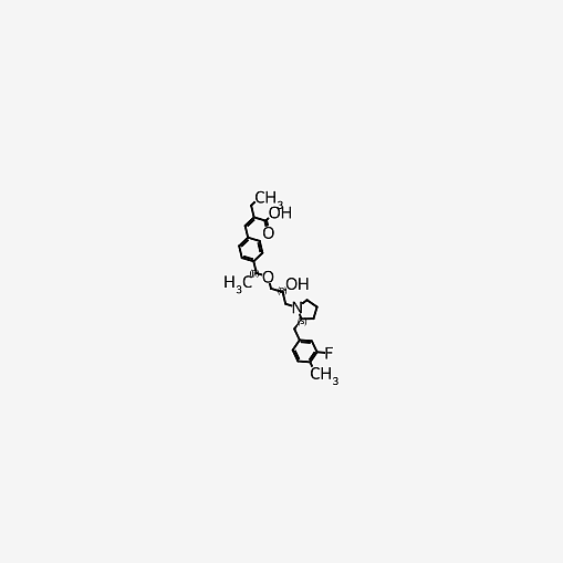 CCC(=Cc1ccc([C@@H](C)OC[C@H](O)CN2CCC[C@H]2Cc2ccc(C)c(F)c2)cc1)C(=O)O